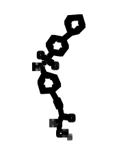 CNC(=O)C#Cc1ccc(NS(=O)(=O)c2ccc(-c3ccccc3)cc2)cc1